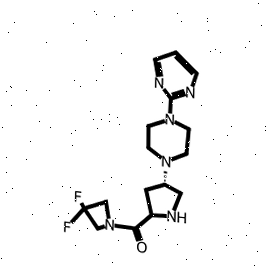 O=C(C1C[C@H](N2CCN(c3ncccn3)CC2)CN1)N1CC(F)(F)C1